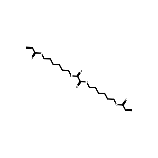 C=CC(=O)OCCCCCCOC(=O)C(=O)OCCCCCCOC(=O)C=C